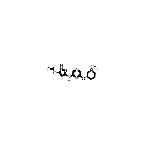 CN1CCC[C@H](Oc2cncc(Nc3cc(OC(F)F)[nH]n3)n2)C1